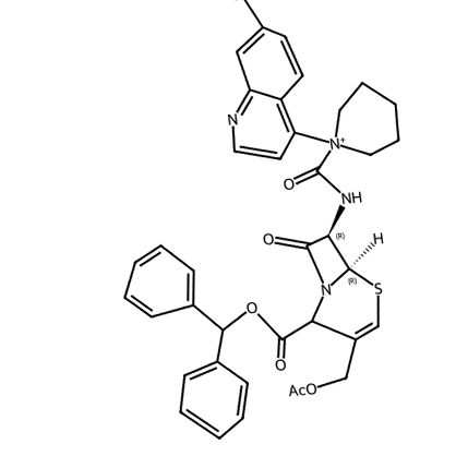 CC(=O)OCC1=CS[C@@H]2[C@H](NC(=O)[N+]3(c4ccnc5cc(Cl)ccc45)CCCCC3)C(=O)N2C1C(=O)OC(c1ccccc1)c1ccccc1